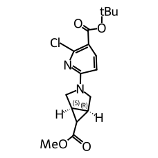 COC(=O)C1[C@H]2CN(c3ccc(C(=O)OC(C)(C)C)c(Cl)n3)C[C@@H]12